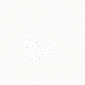 c1ccc(-c2ccc([Si](c3ccccc3)(c3ccccc3)c3ccc4c(c3)-n3c5ccc(-c6cccc7c6oc6ccccc67)cc5c5cccc(c53)C43c4ccccc4-c4ccccc43)cc2)cc1